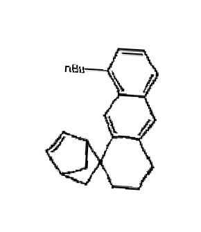 CCCCc1cccc2cc3c(cc12)C1(CCC3)CC2C=CC1C2